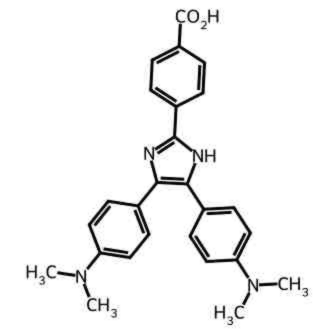 CN(C)c1ccc(-c2nc(-c3ccc(C(=O)O)cc3)[nH]c2-c2ccc(N(C)C)cc2)cc1